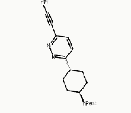 CCCC#Cc1ccc([C@H]2CC[C@H](CCCCC)CC2)nn1